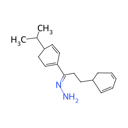 CC(C)C1C=CC(/C(CCC2C=CC=CC2)=N/N)=CC1